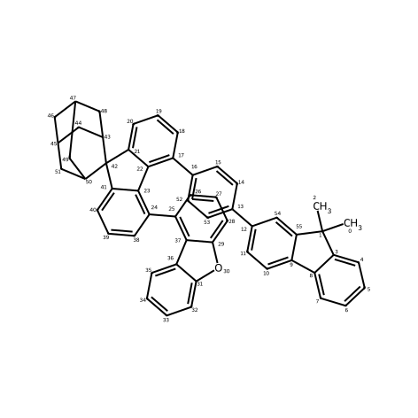 CC1(C)c2ccccc2-c2ccc(-c3ccc(-c4cccc5c4-c4c(-c6cccc7oc8ccccc8c67)cccc4C54C5CC6CC(C5)CC4C6)cc3)cc21